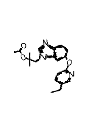 CCc1ccc(Oc2ccc3ncn(CC(C)(C)OC(C)=O)c3c2)nc1